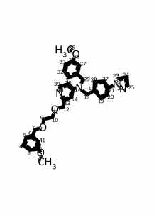 COc1cccc(COCCOCc2cc(N(Cc3ccc(-n4cccn4)cc3)Cc3cccc(OC)c3)ccn2)c1